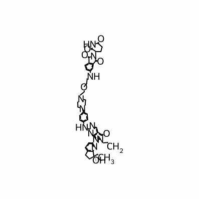 C=CCn1c(=O)c2cnc(Nc3ccc(N4CCN(CCOCCNc5ccc6c(c5)C(=O)N(C5CCC(=O)NC5=O)C6=O)CC4)cc3)nc2n1-c1ccc2c(n1)[C@@](O)(CC)CC2